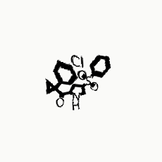 O=C(C1CC(S(=O)(=O)c2ccccc2)CN1)C1(c2ccc(Cl)cc2)CC1